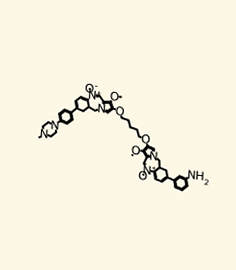 COc1c(OCCCCCOc2cn3c(c2OC)C=[N+]([O-])C2=CC=C(c4cccc(N)c4)CC2C3)cn2c1C=[N+]([O-])C1=CC=C(c3ccc(N4CCN(C)CC4)cc3)CC1C2